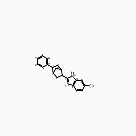 Clc1ccc2nc(C3CC4CC3CC4c3ccccc3)[nH]c2c1